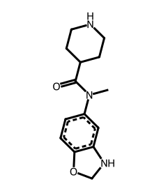 CN(C(=O)C1CCNCC1)c1ccc2c(c1)NCO2